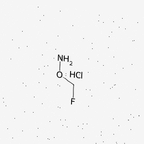 Cl.NOCF